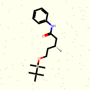 C[C@H](CCO[Si](C)(C)C(C)(C)C)CC(=O)Nc1ccccc1